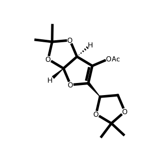 CC(=O)OC1=C([C@H]2COC(C)(C)O2)O[C@@H]2OC(C)(C)O[C@@H]12